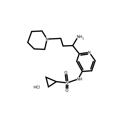 Cl.NC(CCN1CCCCC1)c1cc(NS(=O)(=O)C2CC2)ccn1